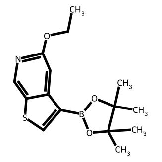 CCOc1cc2c(B3OC(C)(C)C(C)(C)O3)csc2cn1